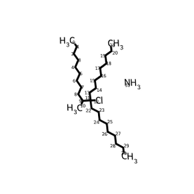 CCCCCCCCCC(C)C(Cl)(CCCCCCCCC)CCCCCCCCC.N